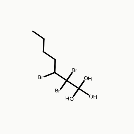 CCCCC(Br)C(Br)(Br)C(O)(O)O